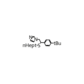 CCCCCCCSC(Cn1ccnc1)c1ccc(C(C)(C)C)cc1